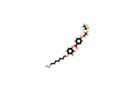 CCCCCCCCOc1ccc(OC(=O)c2ccc(OCC(F)(F)OC(F)(F)C(F)(F)F)cc2)c(F)c1F